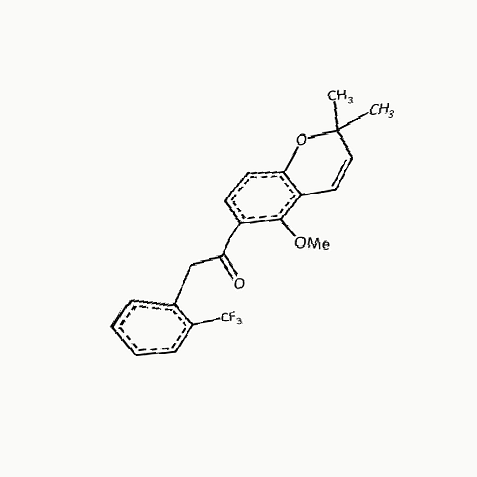 COc1c(C(=O)Cc2ccccc2C(F)(F)F)ccc2c1C=CC(C)(C)O2